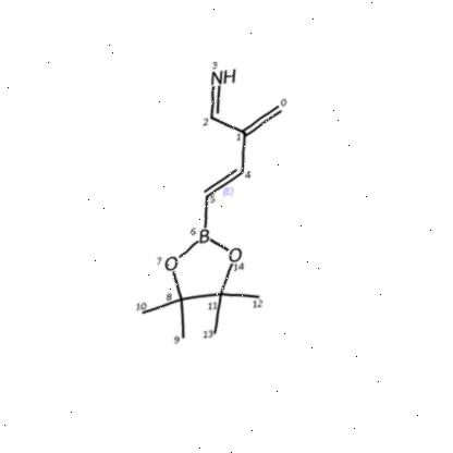 C=C(C=N)/C=C/B1OC(C)(C)C(C)(C)O1